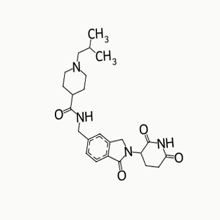 CC(C)CN1CCC(C(=O)NCc2ccc3c(c2)CN(C2CCC(=O)NC2=O)C3=O)CC1